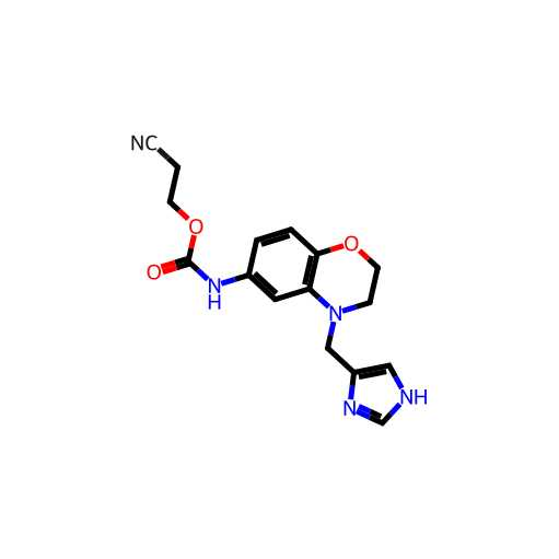 N#CCCOC(=O)Nc1ccc2c(c1)N(Cc1c[nH]cn1)CCO2